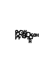 C[C@]12CCC(=O)C(C(F)(F)F)=C1CC[C@@H]1[C@@H]2CC[C@]2(C)[C@H](O)C[C@@H]3C[C@]312